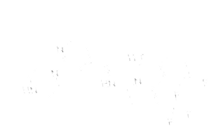 Cc1ccc(F)cc1-c1nc(NSc2ccnc(N3CCNCC3)c2)ccc1C(F)(F)F